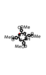 COC(=O)c1ccc(-c2c3nc(c(-c4ccc(C(=O)OC)cc4)c4ccc(c(-c5ccc(C(=O)OC)cc5)c5nc(c(-c6ccc(C(=O)OC)cc6)c6ccc2[nH]6)C=C5)n4C)C=C3)cc1